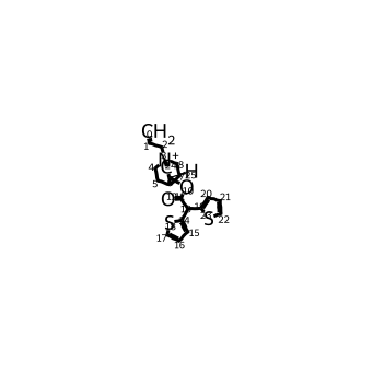 C=CC[N+]12CCC(CC1)[C@@H](OC(=O)C(c1cccs1)c1cccs1)C2